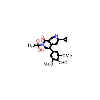 BC(O)(O)n1cc(-c2cc(OC)c(C=O)c(OC)c2)c2cc(C3CC3)ncc2c1=O